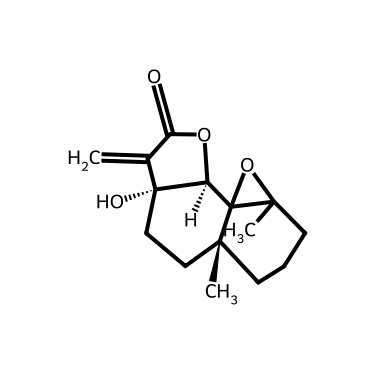 C=C1C(=O)O[C@H]2C34OC3(C)CCC[C@]4(C)CC[C@@]12O